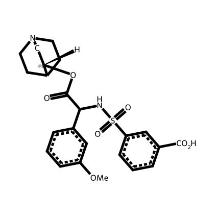 COc1cccc(C(NS(=O)(=O)c2cccc(C(=O)O)c2)C(=O)O[C@H]2CN3CCC2CC3)c1